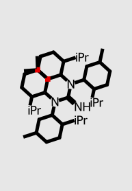 CC1CCC(C(C)C)C(N(C(=N)N(C2CC(C)CCC2C(C)C)C2CC(C)CCC2C(C)C)C2CC(C)CCC2C(C)C)C1